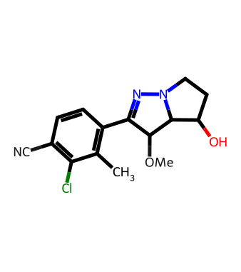 COC1C(c2ccc(C#N)c(Cl)c2C)=NN2CCC(O)C12